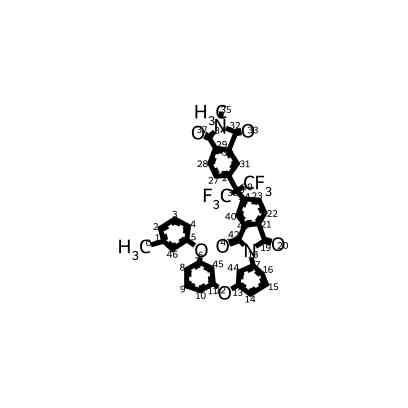 Cc1cccc(Oc2cccc(Oc3cccc(N4C(=O)c5ccc(C(c6ccc7c(c6)C(=O)N(C)C7=O)(C(F)(F)F)C(F)(F)F)cc5C4=O)c3)c2)c1